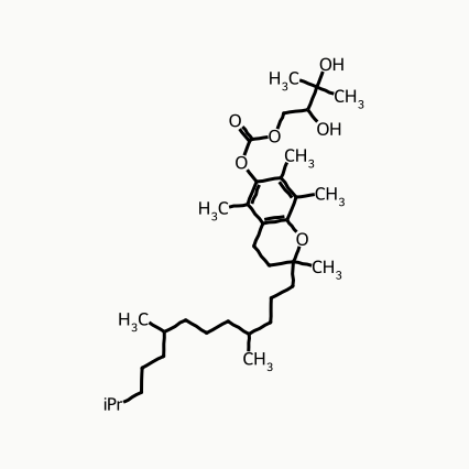 Cc1c(C)c2c(c(C)c1OC(=O)OCC(O)C(C)(C)O)CCC(C)(CCCC(C)CCCC(C)CCCC(C)C)O2